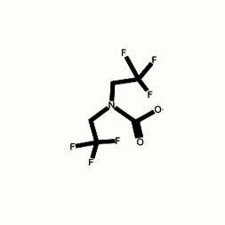 [O]C(=O)N(CC(F)(F)F)CC(F)(F)F